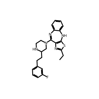 CCc1nc2c(s1)Nc1ccccc1N=C2N1CCNC(CCc2cccc(F)c2)C1